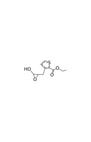 CCOC(=O)c1sccc1CC1OC1O